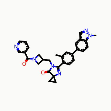 Cc1cc(-c2ccc3c(cnn3C)c2)ccc1C1=NC2(CC2)C(=O)N1CC1CN(C(=O)c2cccnc2)C1